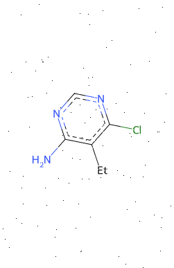 CCc1c(N)ncnc1Cl